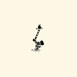 CC(C)(C)OC(=O)N1CCN(c2nc(OCC3CCCN3CCCOCCOCCOCCOc3c(Br)cc(C=O)cc3Br)nc3c2CCN(c2cccc4cccc(Cl)c24)C3)C[C@@H]1CC#N